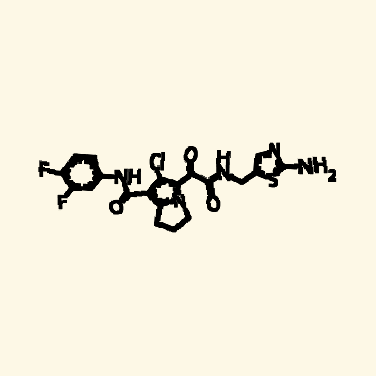 Nc1ncc(CNC(=O)C(=O)c2c(Cl)c(C(=O)Nc3ccc(F)c(F)c3)c3n2CCC3)s1